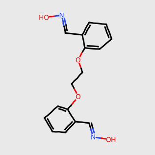 ON=Cc1ccccc1OCCOc1ccccc1C=NO